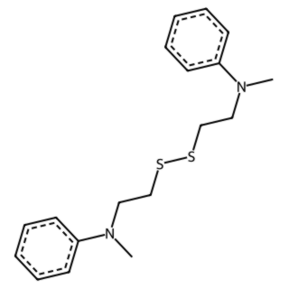 CN(CCSSCCN(C)c1ccccc1)c1ccccc1